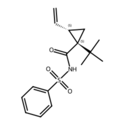 C=C[C@@H]1C[C@@]1(C(=O)NS(=O)(=O)c1ccccc1)C(C)(C)C